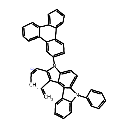 C=Cc1c(/C=C\C)n(-c2ccc3c4ccccc4c4ccccc4c3c2)c2ccc3c(c4ccccc4n3-c3ccccc3)c12